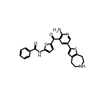 Nc1ncc(-c2cc3c(s2)CCNCC3)cc1C(=O)c1ccc(NC(=O)c2ccccc2)s1